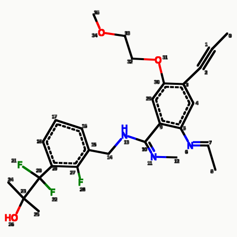 CC#Cc1cc(/N=C/C)c(/C(=N\C)NCc2cccc(C(F)(F)C(C)(C)O)c2F)cc1OCCOC